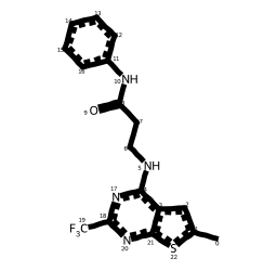 Cc1cc2c(NCCC(=O)Nc3ccccc3)nc(C(F)(F)F)nc2s1